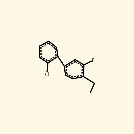 CCc1ccc(-c2ccccc2Cl)cc1F